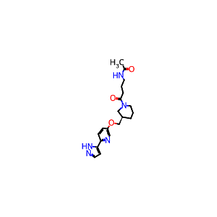 CC(=O)NCCCC(=O)N1CCC[C@@H](COc2ccc(-c3ccn[nH]3)nc2)C1